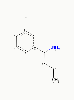 CCCC(N)c1cccc(F)c1